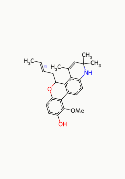 C/C=C/CC1Oc2ccc(O)c(OC)c2-c2ccc3c(c21)C(C)=CC(C)(C)N3